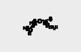 O=C(O)c1cc2c(nc(CC3CC=C(c4ncc(F)c(OCc5ccc(Cl)c6cc(F)oc56)n4)CC3)n2CC2CCO2)s1